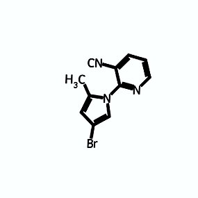 [C-]#[N+]c1cccnc1-n1cc(Br)cc1C